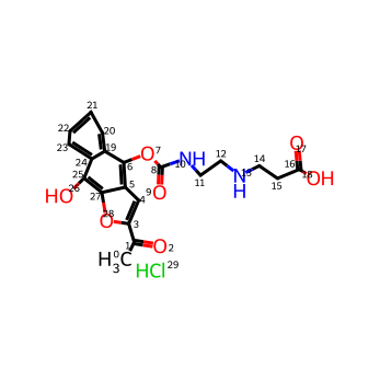 CC(=O)c1cc2c(OC(=O)NCCNCCC(=O)O)c3ccccc3c(O)c2o1.Cl